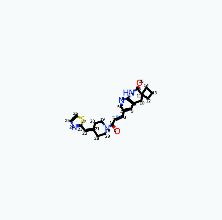 O=C(/C=C/c1cnc2c(c1)CC1(CCC1)C(=O)N2)N1CCC(=Cc2nccs2)CC1